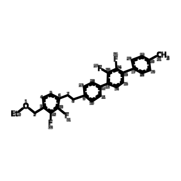 CCOCc1ccc(CCc2ccc(-c3ccc(-c4ccc(C)cc4)c(F)c3F)cc2)c(F)c1F